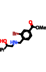 COC(=O)c1ccc(CNC[C@H](O)C(C)C)c(Br)c1